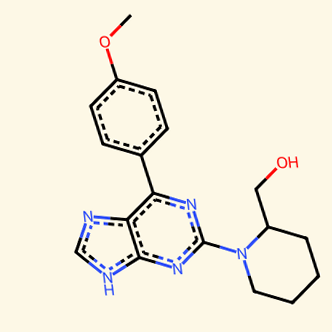 COc1ccc(-c2nc(N3CCCCC3CO)nc3[nH]cnc23)cc1